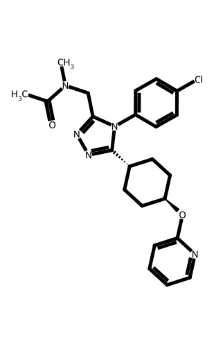 CC(=O)N(C)Cc1nnc([C@H]2CC[C@H](Oc3ccccn3)CC2)n1-c1ccc(Cl)cc1